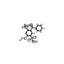 CCOc1cc(O)c(C(=O)c2ccccc2)cc1S(=O)(=O)O.[NaH]